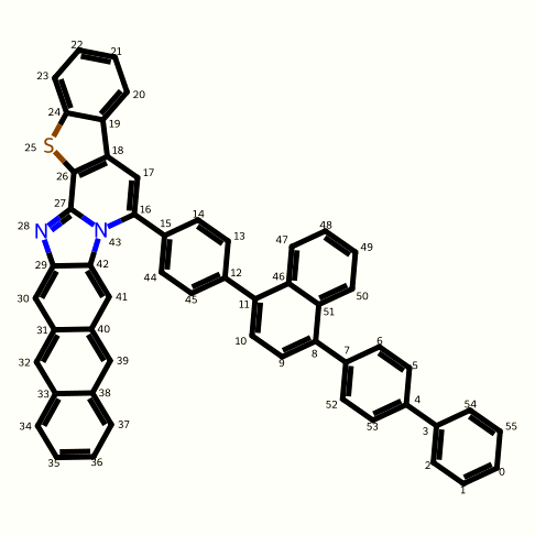 c1ccc(-c2ccc(-c3ccc(-c4ccc(-c5cc6c7ccccc7sc6c6nc7cc8cc9ccccc9cc8cc7n56)cc4)c4ccccc34)cc2)cc1